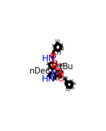 CCCCCCCCCC[C@H](CC(=O)NOCc1ccccc1)C(=O)[N@+]1(C(=O)OC(C)(C)C)CCNCC1C(=O)OCc1ccccc1